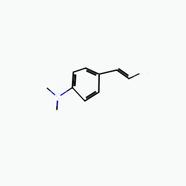 CCCC/C=C/c1ccc(N(C)C)cc1